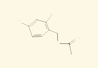 CC(=O)SCc1ccc(F)cc1F